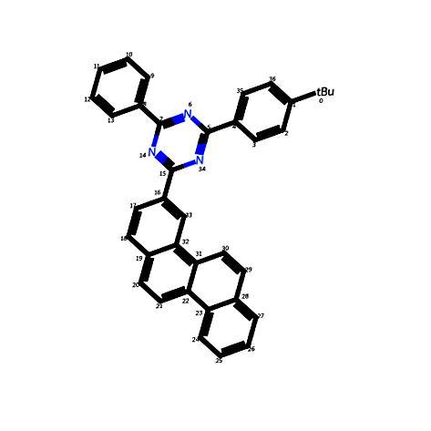 CC(C)(C)c1ccc(-c2nc(-c3ccccc3)nc(-c3ccc4ccc5c6ccccc6ccc5c4c3)n2)cc1